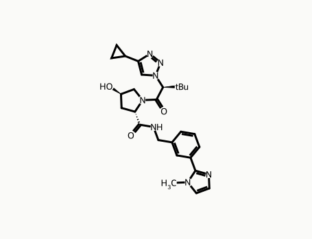 Cn1ccnc1-c1cccc(CNC(=O)[C@@H]2C[C@@H](O)CN2C(=O)[C@@H](n2cc(C3CC3)nn2)C(C)(C)C)c1